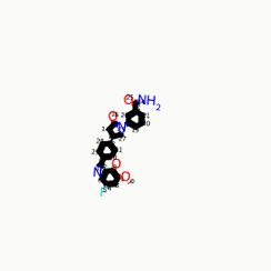 COc1cc(F)ccc1Oc1cc([C@H]2CC(=O)N(c3cccc(C(N)=O)c3)C2)ccc1C#N